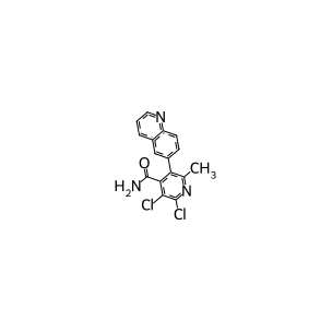 Cc1nc(Cl)c(Cl)c(C(N)=O)c1-c1ccc2ncccc2c1